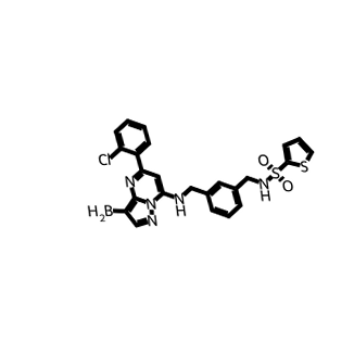 Bc1cnn2c(NCc3cccc(CNS(=O)(=O)c4cccs4)c3)cc(-c3ccccc3Cl)nc12